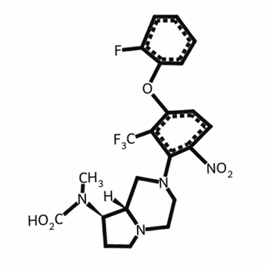 CN(C(=O)O)[C@@H]1CCN2CCN(c3c([N+](=O)[O-])ccc(Oc4ccccc4F)c3C(F)(F)F)C[C@@H]12